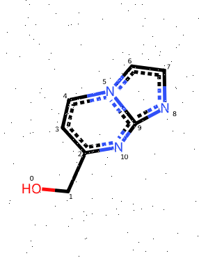 OCc1ccn2ccnc2n1